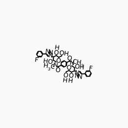 CN(C(=O)c1ccc(C(=O)N(C)[C@@H]2OC(CO)[C@H](O)C(n3cc(-c4cccc(F)c4)nn3)[C@@H]2O)cc1)[C@@H]1OC(CO)[C@H](O)C(n2cc(-c3cccc(F)c3)nn2)C1O